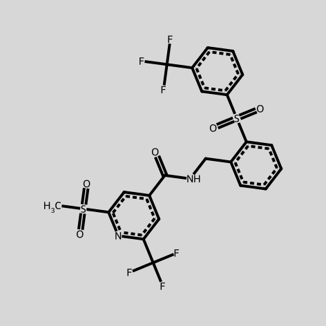 CS(=O)(=O)c1cc(C(=O)NCc2ccccc2S(=O)(=O)c2cccc(C(F)(F)F)c2)cc(C(F)(F)F)n1